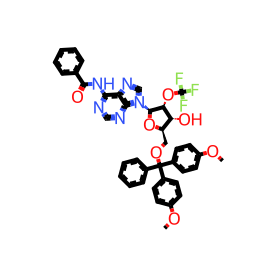 COc1ccc(C(OC[C@H]2O[C@@H](n3cnc4c(NC(=O)c5ccccc5)ncnc43)[C@H](OC(F)(F)F)[C@@H]2O)(c2ccccc2)c2ccc(OC)cc2)cc1